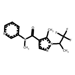 Cc1c(C(=O)N(C)c2cccnc2)cnn1C(C)C(F)(F)F